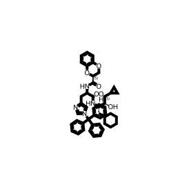 O=C(N[C@@H](CC1CCCCC1)[C@@H](O)[C@@H](O)C1CC1)C(Cc1cn(C(c2ccccc2)(c2ccccc2)c2ccccc2)cn1)NC(=O)[C@@H]1COc2ccccc2O1